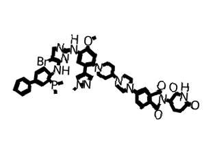 COc1cc(N2CCC(N3CCN(c4ccc5c(c4)C(=O)N(C4CCC(=O)NC4=O)C5=O)CC3)CC2)c(-c2cnn(C)c2)cc1Nc1ncc(Br)c(Nc2ccc(-c3ccccc3)cc2P(C)C)n1